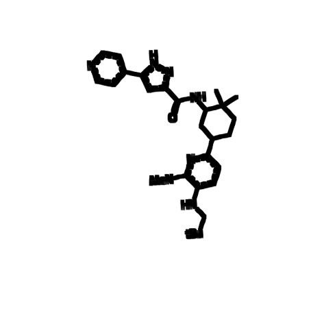 CNc1nc(C2CCC(C)(C)C(NC(=O)c3cc(-c4ccncc4)[nH]n3)C2)ccc1NCC(C)(C)C